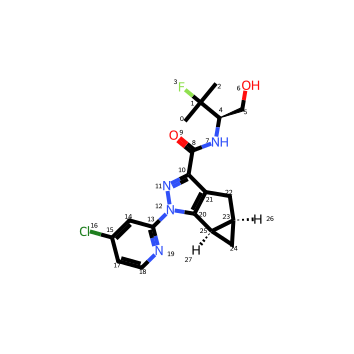 CC(C)(F)[C@@H](CO)NC(=O)c1nn(-c2cc(Cl)ccn2)c2c1C[C@H]1C[C@@H]21